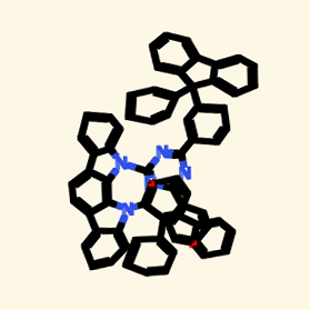 c1ccc(-c2nc(-c3cccc(C4(c5ccccc5)c5ccccc5-c5ccccc54)c3)nc(-n3c4ccccc4c4ccc5c6ccccc6n(-c6cccc(-c7ccccc7)c6-c6ccccc6)c5c43)n2)cc1